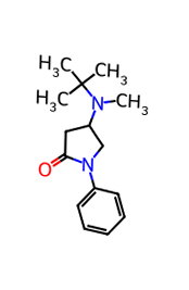 CN(C1CC(=O)N(c2ccccc2)C1)C(C)(C)C